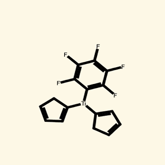 Fc1c(F)c(F)[c]([Ti]([C]2=CC=CC2)[C]2=CC=CC2)c(F)c1F